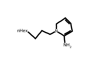 CCCCCCCCCN1CC=CC=C1N